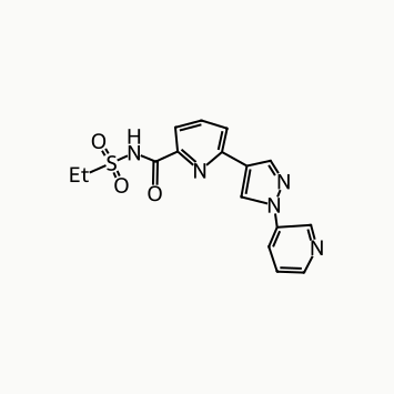 CCS(=O)(=O)NC(=O)c1cccc(-c2cnn(-c3cccnc3)c2)n1